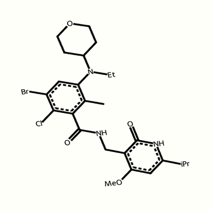 CCN(c1cc(Br)c(Cl)c(C(=O)NCc2c(OC)cc(C(C)C)[nH]c2=O)c1C)C1CCOCC1